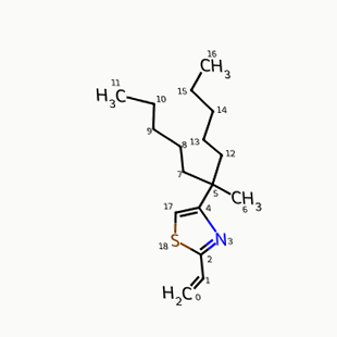 C=Cc1nc(C(C)(CCCCC)CCCCC)cs1